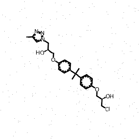 Cc1cn(C[C@H](O)COc2ccc(C(C)(C)c3ccc(OC[C@@H](O)CCl)cc3)cc2)nn1